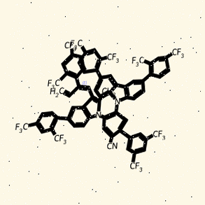 C=C/C(=C\c1c(C)n(-c2cc(C#N)c(-c3cc(C(F)(F)F)cc(C(F)(F)F)c3)cc2-n2c3ccc(-c4ccc(C(F)(F)F)cc4C(F)(F)F)cc3c3cc(-c4ccc(C(F)(F)F)cc4C(F)(F)F)ccc32)c2ccc(-c3ccc(C(F)(F)F)cc3C(F)(F)F)cc12)c1ccc(C(F)(F)F)cc1C(F)(F)F